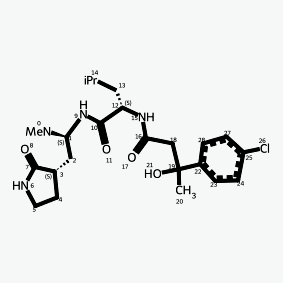 CN[C@H](C[C@@H]1CCNC1=O)NC(=O)[C@H](CC(C)C)NC(=O)CC(C)(O)c1ccc(Cl)cc1